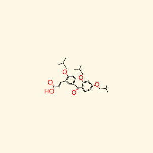 CC(C)COc1ccc(C(=O)c2ccc(OCC(C)C)c(/C=C/C(=O)O)c2)c(OCC(C)C)c1